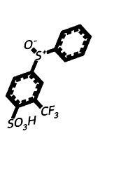 O=S(=O)(O)c1ccc([S+]([O-])c2ccccc2)cc1C(F)(F)F